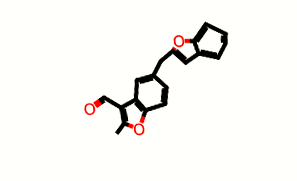 Cc1oc2ccc(Cc3cc4ccccc4o3)cc2c1C=O